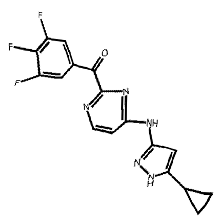 O=C(c1cc(F)c(F)c(F)c1)c1nccc(Nc2cc(C3CC3)[nH]n2)n1